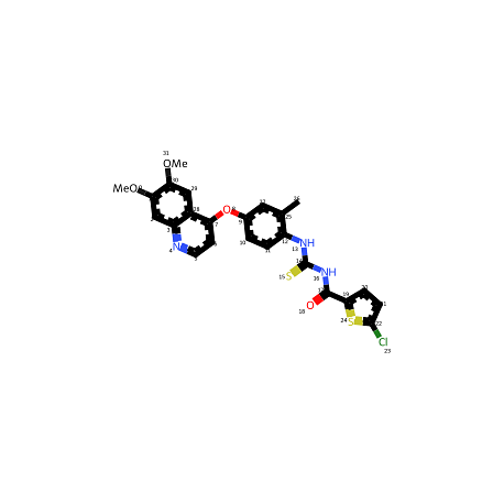 COc1cc2nccc(Oc3ccc(NC(=S)NC(=O)c4ccc(Cl)s4)c(C)c3)c2cc1OC